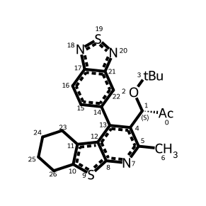 CC(=O)[C@@H](OC(C)(C)C)c1c(C)nc2sc3c(c2c1-c1ccc2nsnc2c1)CCCC3